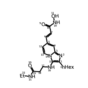 CCCCCCc1nc2cc(C=CC(=O)NO)ccn2c1NCCC(=O)NCC